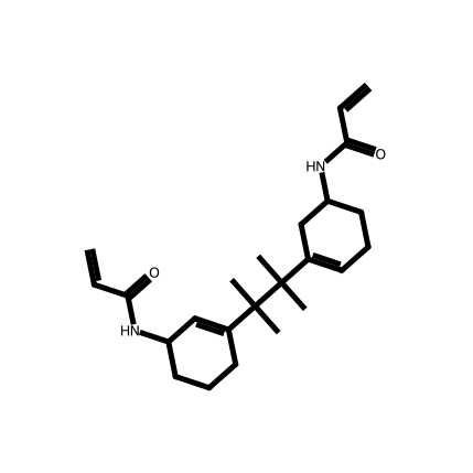 C=CC(=O)NC1C=C(C(C)(C)C(C)(C)C2=CCCC(NC(=O)C=C)C2)CCC1